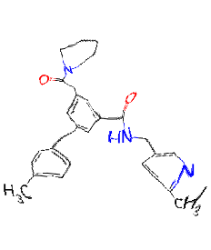 Cc1ccc(-c2cc(C(=O)NCc3ccc(C)nc3)cc(C(=O)N3CCCC3)c2)cc1